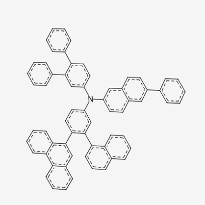 c1ccc(-c2ccc3cc(N(c4ccc(-c5ccccc5)c(-c5ccccc5)c4)c4ccc(-c5cc6ccccc6c6ccccc56)c(-c5cccc6ccccc56)c4)ccc3c2)cc1